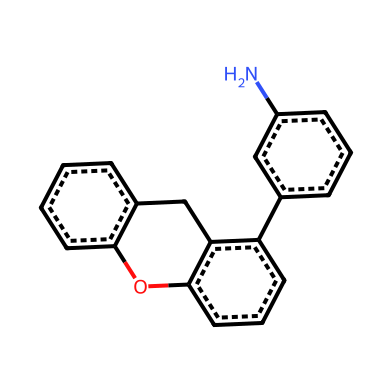 Nc1cccc(-c2cccc3c2Cc2ccccc2O3)c1